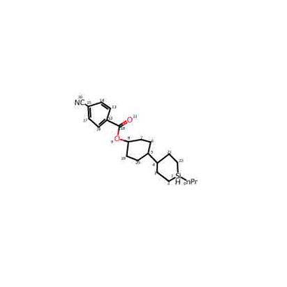 CCC[SiH]1CCC(C2CCC(OC(=O)c3ccc(C#N)cc3)CC2)CC1